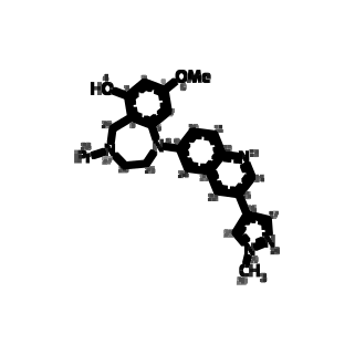 COc1cc(O)c2c(c1)N(c1ccc3ncc(-c4cnn(C)c4)cc3c1)CCN(C(C)C)C2